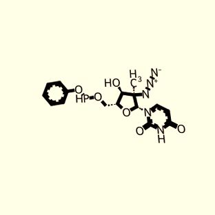 C[C@@]1(N=[N+]=[N-])[C@H](O)[C@@H](COPOc2ccccc2)O[C@H]1n1ccc(=O)[nH]c1=O